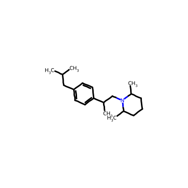 CC(C)Cc1ccc(C(C)CN2C(C)CCCC2C)cc1